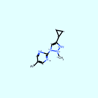 CC(C)c1cnc(N2C=C(C3CC3)NN2C)nc1